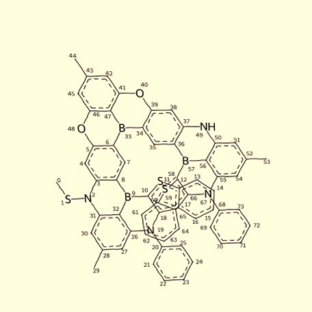 CSN1c2cc3c(cc2B2c4sc5ccccc5c4N(c4ccccc4)c4cc(C)cc1c42)B1c2cc4c(cc2Oc2cc(C)cc(c21)O3)Nc1cc(C)cc2c1B4c1sc3ccccc3c1N2c1ccccc1